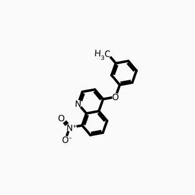 Cc1cccc(Oc2ccnc3c([N+](=O)[O-])cccc23)c1